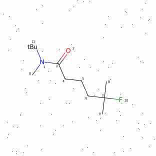 CN(C(=O)CCCC(C)(C)F)C(C)(C)C